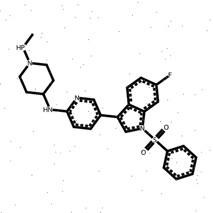 CPN1CCC(Nc2ccc(-c3cn(S(=O)(=O)c4ccccc4)c4cc(F)ccc34)cn2)CC1